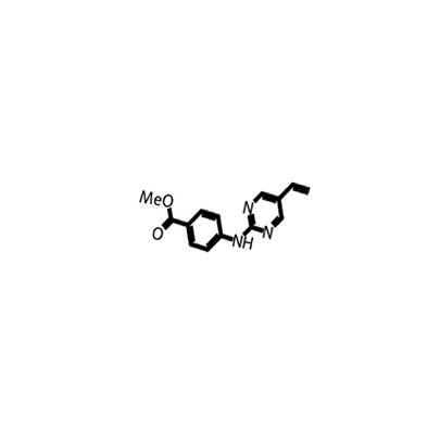 C=Cc1cnc(Nc2ccc(C(=O)OC)cc2)nc1